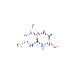 Cc1nc(Cl)nc2[nH]c(=O)ccc12